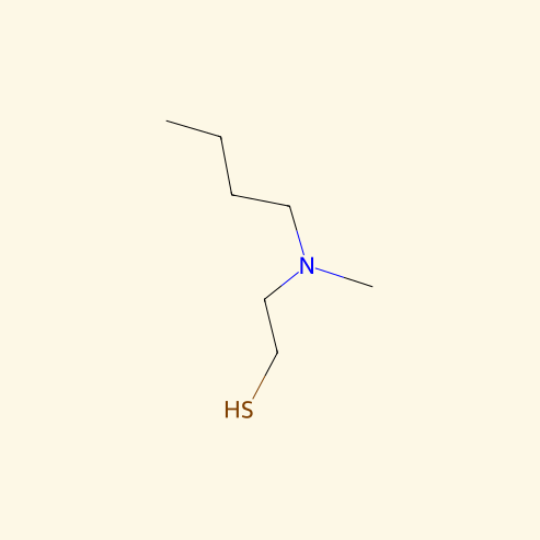 CCCCN(C)CCS